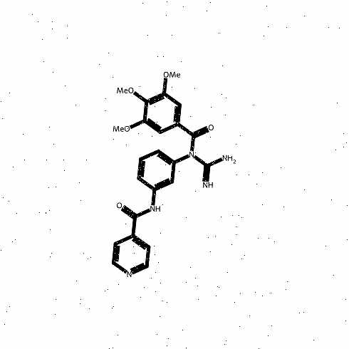 COc1cc(C(=O)N(C(=N)N)c2cccc(NC(=O)c3ccncc3)c2)cc(OC)c1OC